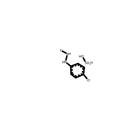 FNNc1ccc(Cl)cc1.O=S(=O)(O)O